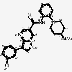 CNC1CCN(c2ccccc2NC(=O)c2cnc3c(-c4cccc(Cl)c4)cnn3c2)CC1